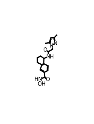 Cc1cc(C)n(CC(=O)NC2CCCc3cc(C(=O)NO)ccc32)n1